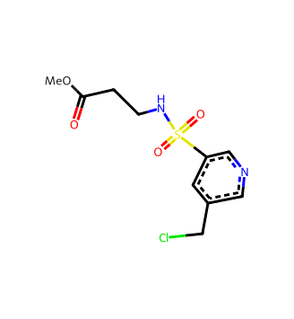 COC(=O)CCNS(=O)(=O)c1cncc(CCl)c1